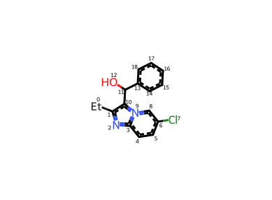 CCc1nc2ccc(Cl)cn2c1C(O)c1ccccc1